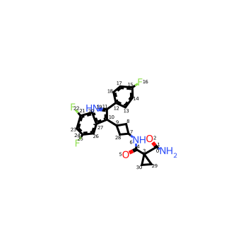 NC(=O)C1(C(=O)NC2CC(c3c(-c4ccc(F)cc4)[nH]c4c(F)cc(F)cc34)C2)CC1